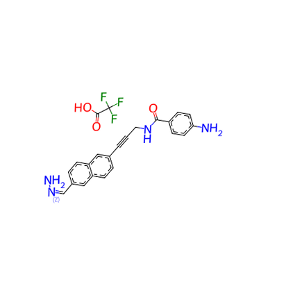 N/N=C\c1ccc2cc(C#CCNC(=O)c3ccc(N)cc3)ccc2c1.O=C(O)C(F)(F)F